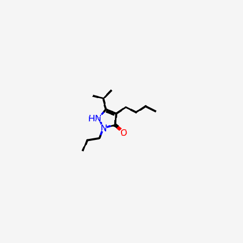 CCCCc1c(C(C)C)[nH]n(CCC)c1=O